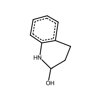 O[C]1CCc2ccccc2N1